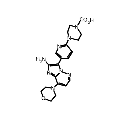 Nc1nc2c(N3CCOCC3)ccnn2c1-c1ccc(N2CCN(C(=O)O)CC2)nc1